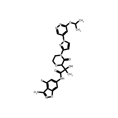 CC(C)Oc1cc(-n2ccc(N3CCOC(C(C)(O)C(=O)Nc4cc(F)c5c(N)noc5c4)C3=O)n2)cnn1